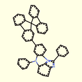 c1ccc(-c2nc3cccc4c3n2-c2ccc(-c3ccc5c(c3)C3(c6ccccc6-c6ccccc63)c3ccccc3-5)cc2N4c2ccccc2)cc1